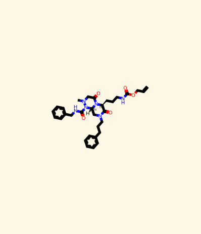 C=CCOC(=O)NCCC[C@H]1C(=O)N(CCCc2ccccc2)C[C@H]2N1C(=O)CN(C)N2C(=O)NCc1ccccc1